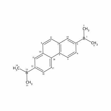 CB(C)c1ccc2c(ccc3cc(B(C)C)ccc32)c1